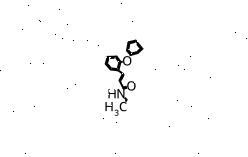 CCNC(=O)C=Cc1ccccc1Oc1ccccc1